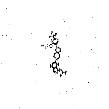 COc1nc(C(F)(F)F)ncc1N1CCC2(CCN(c3cnc4cnn(CC(F)F)c4n3)CC2)C1